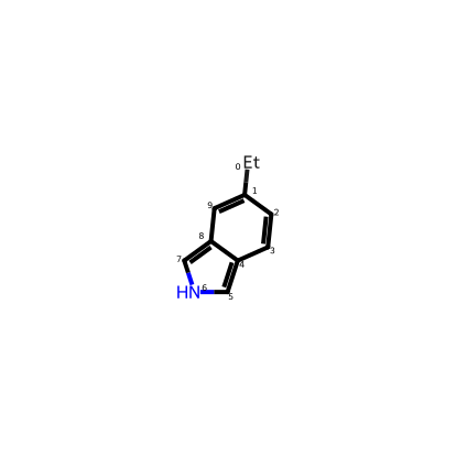 [CH2]Cc1ccc2c[nH]cc2c1